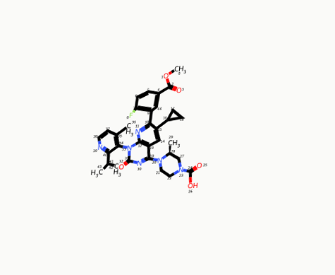 COC(=O)c1ccc(F)c(-c2nc3c(cc2C2CC2)c(N2CCN(C(=O)O)C[C@@H]2C)nc(=O)n3-c2c(C)ccnc2C(C)C)c1